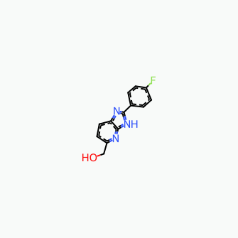 OCc1ccc2nc(-c3ccc(F)cc3)[nH]c2n1